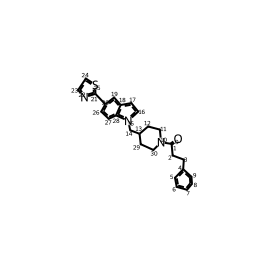 O=C(CCc1ccccc1)N1CCC(Cn2ccc3cc(-c4nccs4)ccc32)CC1